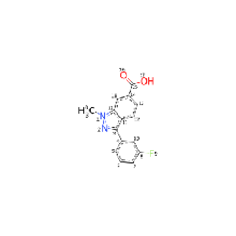 Cn1nc(-c2cccc(F)c2)c2ccc(C(=O)O)cc21